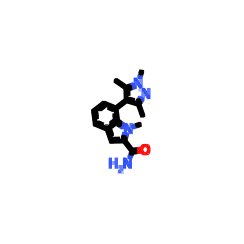 Cc1nn(C)c(C)c1-c1cccc2cc(C(N)=O)n(C)c12